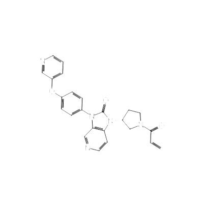 C=CC(=O)N1CC[C@@H](n2c(=O)n(-c3ccc(Oc4cccnc4)cc3)c3cnccc32)C1